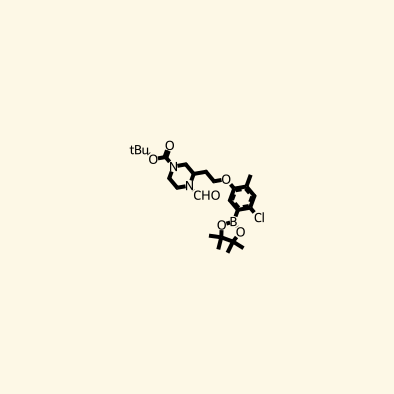 Cc1cc(Cl)c(B2OC(C)(C)C(C)(C)O2)cc1OCCC1CN(C(=O)OC(C)(C)C)CCN1C=O